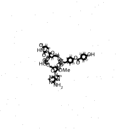 CO[C@@H]1[C@@H]2O[P@](=O)(SCc3ccc(OC(=O)c4ccc(O)cc4)cc3)OC[C@@H]3C[C@@H](OP(=O)(O)OCC2O[C@H]1n1cnc2c(N)ncnc21)[C@H](n1ccc(=O)[nH]c1=O)O3